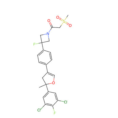 CC1(c2cc(Cl)c(F)c(Cl)c2)CC(c2ccc(C3(F)CN(C(=O)CS(C)(=O)=O)C3)cc2)=CO1